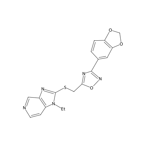 CCn1c(SCc2nc(-c3ccc4c(c3)OCO4)no2)nc2cnccc21